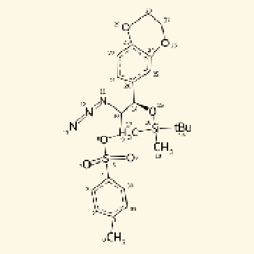 Cc1ccc(S(=O)(=O)OCC(N=[N+]=[N-])[C@H](O[Si](C)(C)C(C)(C)C)c2ccc3c(c2)OCCO3)cc1